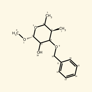 CO[C@@H]1OC(C)[C@@H](C)C(OCc2ccccc2)C1O